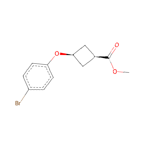 COC(=O)[C@H]1C[C@@H](Oc2ccc(Br)cc2)C1